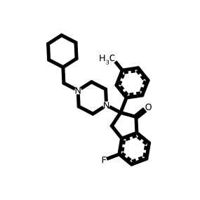 Cc1cccc(C2(N3CCN(CC4CCCCC4)CC3)Cc3c(F)cccc3C2=O)c1